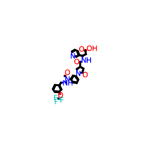 O=CN(NCc1cccc(OC(F)(F)F)c1)c1cccc(N2CC(C(=O)NC(CC(=O)O)c3cccnc3)CC2=O)c1